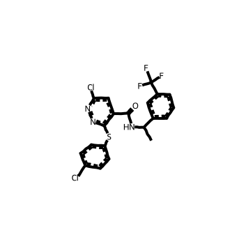 CC(NC(=O)c1cc(Cl)nnc1Sc1ccc(Cl)cc1)c1cccc(C(F)(F)F)c1